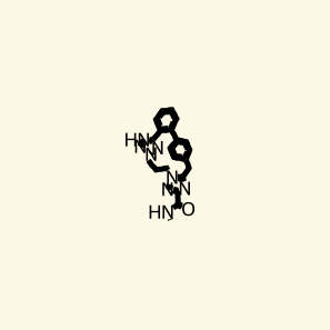 CCCn1nc(C(=O)NC)nc1Cc1ccc(-c2ccccc2-c2nnn[nH]2)cc1